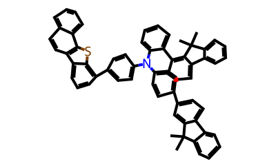 CC1(C)c2ccccc2-c2ccc(-c3ccc(N(c4ccc(-c5cccc6c5sc5c7ccccc7ccc65)cc4)c4ccccc4-c4cccc5c4C(C)(C)c4ccccc4-5)cc3)cc21